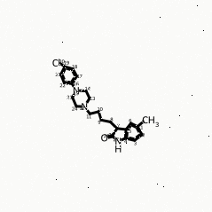 Cc1ccc2c(c1)C(CCCCN1CCN(c3ccc(Cl)cc3)CC1)C(=O)N2